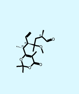 C=C[C@H]([C@@H](C)C1=C(C)C(=O)OC(C)(C)O1)C(C)(C[C@@H](C)C=O)OC